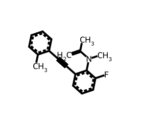 C=C(C)N(C)c1c(F)cccc1C#Cc1ccccc1C